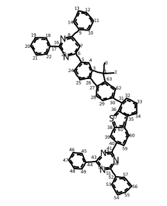 CC1(C)c2cc(-c3cc(-c4ccccc4)nc(-c4ccccc4)n3)ccc2-c2ccc(-c3cccc4c3sc3cc(-c5nc(-c6ccccc6)nc(-c6ccccc6)n5)ccc34)cc21